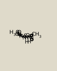 Cc1ccc(NC(=O)Nc2nc(CN3CCN(S(C)(=O)=O)CC3)cs2)c(N2CCCCC2)c1